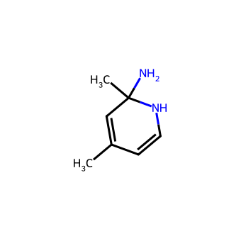 CC1=CC(C)(N)NC=C1